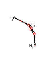 CCCCCCCCCCCCCCCCCCCCOC(C)c1ccc(OC(=O)c2ccc(-c3ccc(OCCCCCCCCCCCCCCC)cc3)cc2)cc1